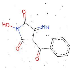 N=C1C(=O)N(O)C(=O)C1C(=O)c1ccccc1